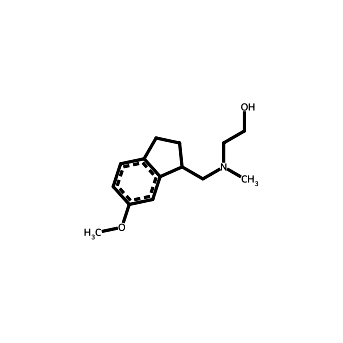 COc1ccc2c(c1)C(CN(C)CCO)CC2